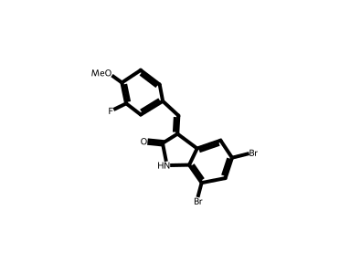 COc1ccc(C=C2C(=O)Nc3c(Br)cc(Br)cc32)cc1F